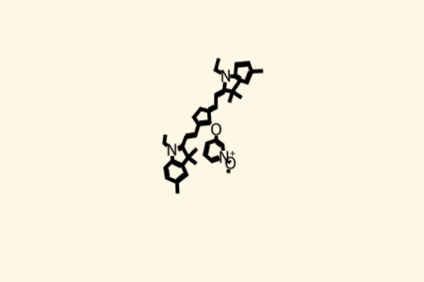 CCN1/C(=C/C=C2\CCC(/C=C/C3=[N+](CC)c4ccc(C)cc4C3(C)C)=C2Oc2ccc[n+](OC)c2)C(C)(C)c2cc(C)ccc21